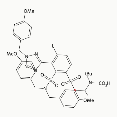 COc1ccc(CN(Cc2ccc(OC)cc2)S(=O)(=O)c2c(S(=O)(=O)CC(C)N(C(=O)O)C(C)(C)C)ccc(I)c2-c2nnn(Cc3ccc(OC)cc3)n2)cc1